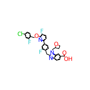 O=C(O)c1ccc2nc(Cc3ccc(-c4ccc(F)c(OCc5ccc(Cl)cc5F)n4)cc3F)n(CC3CCO3)c2c1